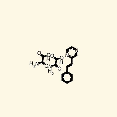 C(=Cc1cnccn1)c1ccccc1.NC(=O)C(=O)O.NC(=O)C(=O)O